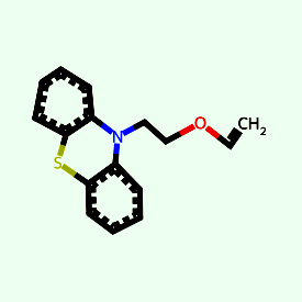 C=COCCN1c2ccccc2Sc2ccccc21